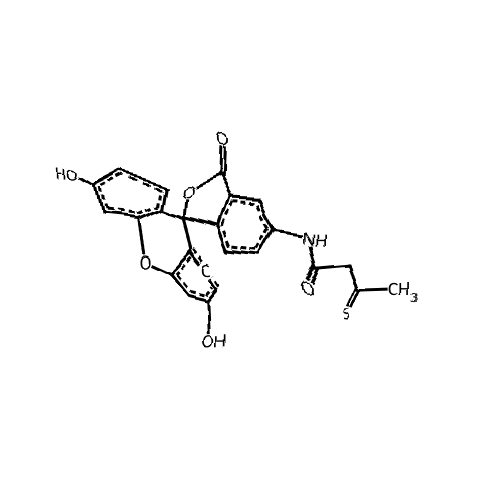 CC(=S)CC(=O)Nc1ccc2c(c1)C(=O)OC21c2ccc(O)cc2Oc2cc(O)ccc21